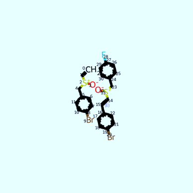 C=C[S+]([O-])Cc1ccc(Br)cc1.[O-][S+](/C=C/c1ccc(Br)cc1)Cc1ccc(F)cc1